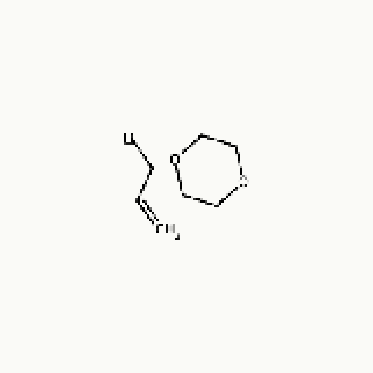 C1COCCO1.[Li][CH2]C=C